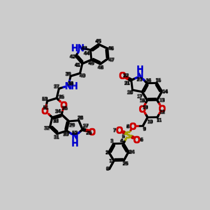 Cc1ccc(S(=O)(=O)OCC2COc3ccc4c(c3O2)CC(=O)N4)cc1.O=C1Cc2c(ccc3c2OC(CNCCc2c[nH]c4ccccc24)CO3)N1